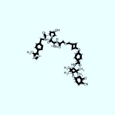 Cc1ncsc1-c1ccc(CNC(=O)[C@@H]2C[C@@H](O)CN2C(=O)[C@@H](NC(=O)COCC2CC(Oc3ccc(C(=O)N[C@H]4C(C)(C)[C@H](Oc5ccc(C#N)c(Cl)c5)C4(C)C)cc3)C2)C(C)(C)C)cc1